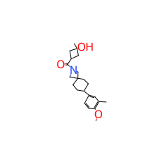 COc1ccc(C2CCC3(CC2)CN(C(=O)C2CC(C)(O)C2)C3)cc1C